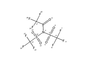 O=C(N(S(=O)(=O)C(F)(F)F)S(=O)(=O)C(F)(F)F)C(F)(F)F